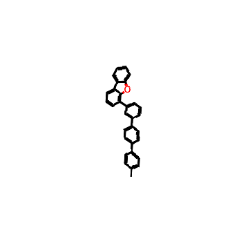 Cc1ccc(-c2ccc(-c3cccc(-c4cccc5c4oc4ccccc45)c3)cc2)cc1